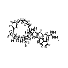 CC(=O)N[C@H]1Cc2ccc(cc2)Oc2ccc(cc2)C[C@@H](C(=O)N[C@@H](CCCNC(=N)N)C(=O)c2nc3ccccc3s2)NC(=O)[C@H](CC(C)C)NC1=O